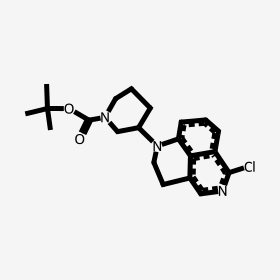 CC(C)(C)OC(=O)N1CCCC(N2CCc3cnc(Cl)c4cccc2c34)C1